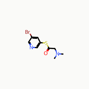 CN(C)CC(=O)Sc1cncc(Br)c1